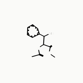 COC(=O)C(OC(C)=O)C(N)c1ccccc1